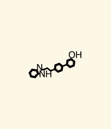 Oc1cccc(-c2ccc(CCc3nc4ccccc4[nH]3)cc2)c1